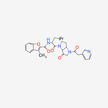 Cc1c(C(=O)NC(CC(C)C)C(=O)N2CCC3C2C(=O)CN3C(=O)Cc2cccnc2)oc2ccccc12